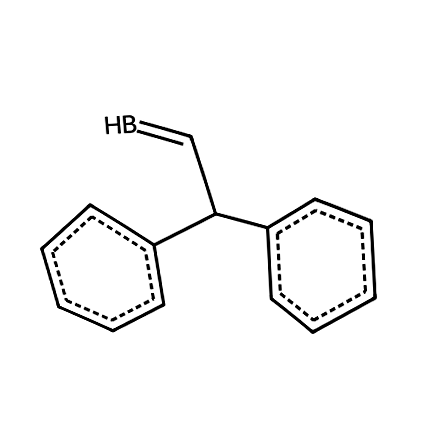 B=CC(c1ccccc1)c1ccccc1